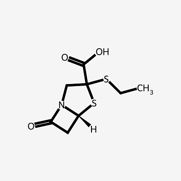 CCSC1(C(=O)O)CN2C(=O)C[C@H]2S1